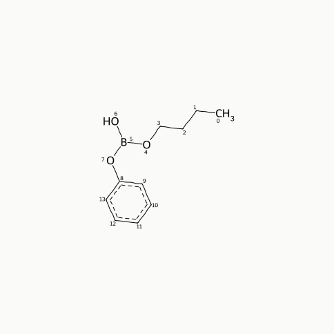 CCCCOB(O)Oc1ccccc1